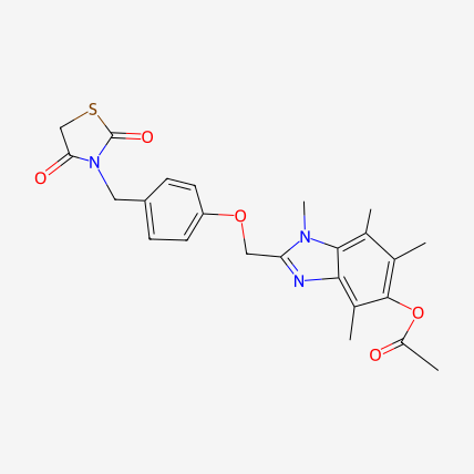 CC(=O)Oc1c(C)c(C)c2c(nc(COc3ccc(CN4C(=O)CSC4=O)cc3)n2C)c1C